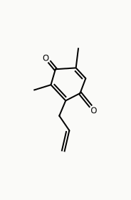 C=CCC1=C(C)C(=O)C(C)=CC1=O